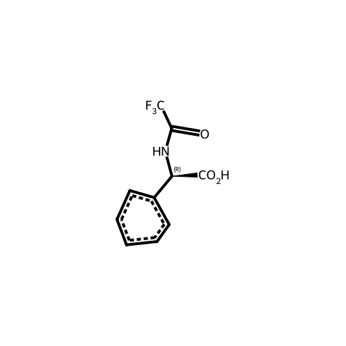 O=C(O)[C@H](NC(=O)C(F)(F)F)c1ccccc1